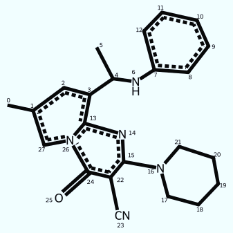 Cc1cc(C(C)Nc2ccccc2)c2nc(N3CCCCC3)c(C#N)c(=O)n2c1